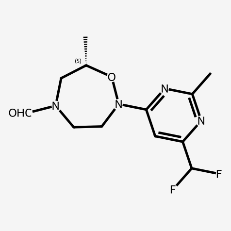 Cc1nc(C(F)F)cc(N2CCN(C=O)C[C@H](C)O2)n1